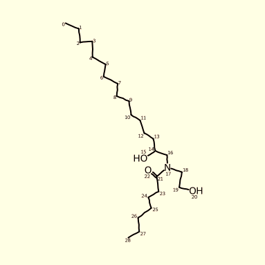 CCCCCCCCCCCCCCC(O)CN(CCO)C(=O)CCCCCC